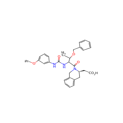 CC(C)Oc1cccc(NC(=O)NC(C(=O)N2Cc3ccccc3C[C@@H]2CC(=O)O)C(C)OCc2ccccc2)c1